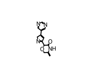 C=C1COC(C2=NCC(c3cncnc3)=C2)C(=O)N1